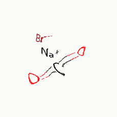 O=C=O.[Br-].[Na+]